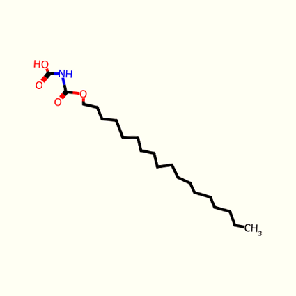 CCCCCCCCCCCCCCCCCCOC(=O)NC(=O)O